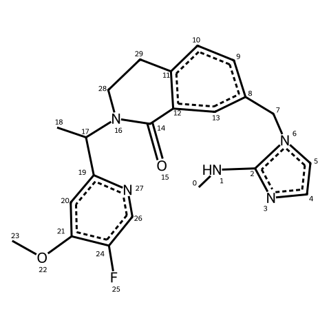 CNc1nccn1Cc1ccc2c(c1)C(=O)N(C(C)c1cc(OC)c(F)cn1)CC2